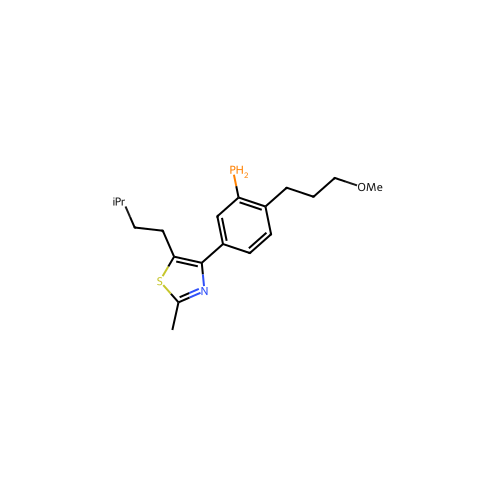 COCCCc1ccc(-c2nc(C)sc2CCC(C)C)cc1P